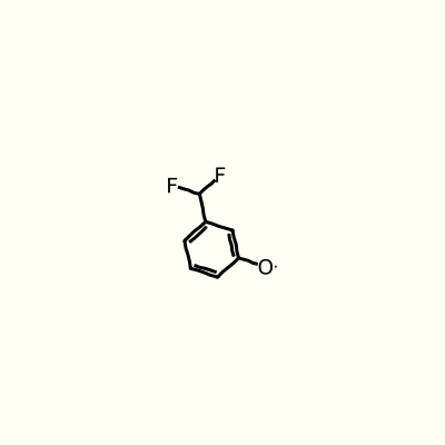 [O]c1cccc(C(F)F)c1